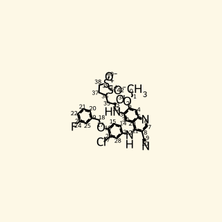 CCOc1cc2ncc(C#N)c(Nc3ccc(OCc4cccc(F)c4)c(Cl)c3)c2cc1NC(=O)CC1CC[S+]([O-])[S+]1[O-]